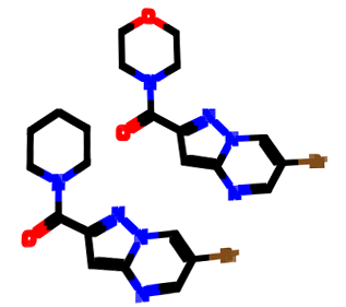 O=C(c1cc2ncc(Br)cn2n1)N1CCCCC1.O=C(c1cc2ncc(Br)cn2n1)N1CCOCC1